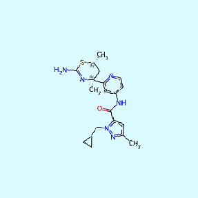 Cc1cc(C(=O)Nc2ccnc([C@]3(C)C[C@@H](C)SC(N)=N3)c2)n(CC2CC2)n1